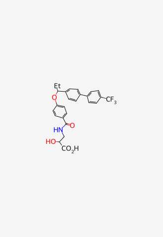 CCC(Oc1ccc(C(=O)NCC(O)C(=O)O)cc1)c1ccc(-c2ccc(C(F)(F)F)cc2)cc1